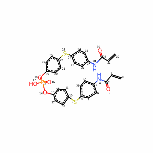 C=CC(=O)Nc1ccc(Sc2ccc(OP(=O)(O)Oc3ccc(Sc4ccc(NC(=O)C=C)cc4)cc3)cc2)cc1